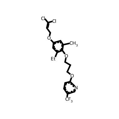 CCc1cc(OCC=C(Cl)Cl)cc(C)c1OCCCOc1ccc(C(F)(F)F)cn1